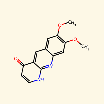 COc1cc2cc3c(=O)cc[nH]c3nc2cc1OC